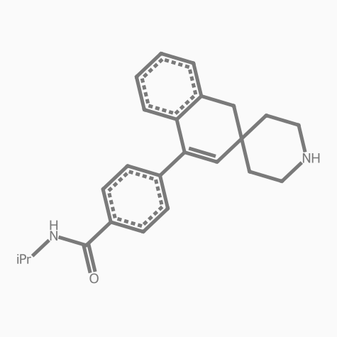 CC(C)NC(=O)c1ccc(C2=CC3(CCNCC3)Cc3ccccc32)cc1